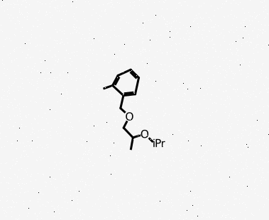 Cc1ccccc1COCC(C)OC(C)C